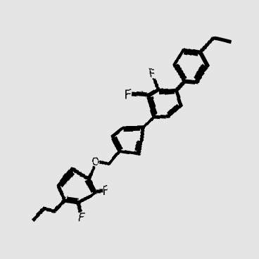 CCCc1ccc(OCc2ccc(-c3ccc(-c4ccc(CC)cc4)c(F)c3F)cc2)c(F)c1F